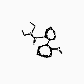 CCN(CC)[P](=O)c1ccccc1-c1ccccc1OC